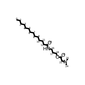 CCCCCCCCCCCCCC(=O)NCCCOC(=O)CN(C)C